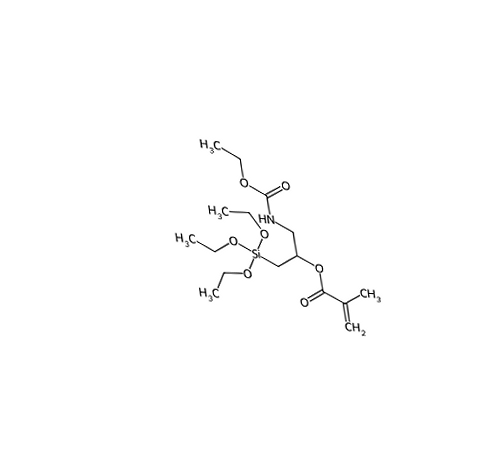 C=C(C)C(=O)OC(CNC(=O)OCC)C[Si](OCC)(OCC)OCC